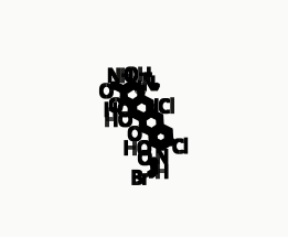 CN(C)[C@@H]1C(O)=C(C(N)=O)C(=O)C2(O)C(O)=C3C(=O)c4c(cc(Cl)c(NC(=O)CBr)c4O)CC3CC12.Cl